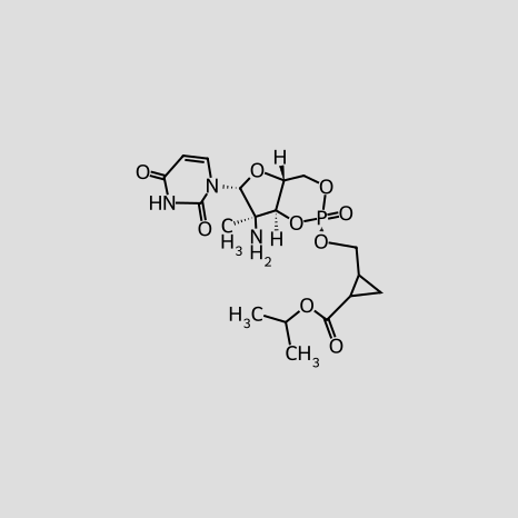 CC(C)OC(=O)C1CC1CO[P@@]1(=O)OC[C@H]2O[C@@H](n3ccc(=O)[nH]c3=O)[C@](C)(N)[C@@H]2O1